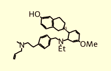 C=CCN(C)CCc1ccc(CN(CC)C2C=C(OC)C=CC2[C@@H]2CCc3cc(O)ccc3C2)cc1